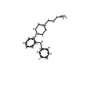 NCCCN1CCN(c2ccccc2Cc2ccccc2)CC1